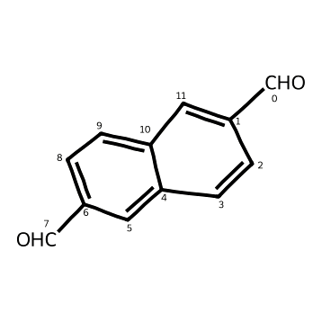 O=Cc1ccc2cc(C=O)ccc2c1